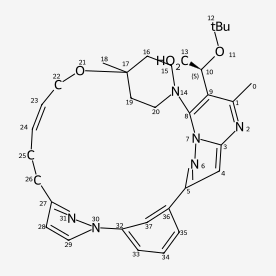 Cc1nc2cc3nn2c(c1[C@H](OC(C)(C)C)C(=O)O)N1CCC(C)(CC1)OCC=CCCc1ccn(n1)-c1cccc-3c1